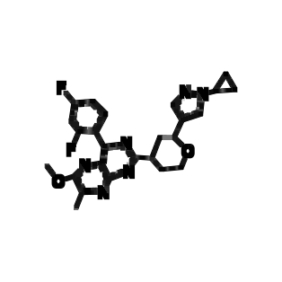 COc1nc2c(-c3ccc(F)cc3F)nc(C3CCOC(c4cnn(C5CC5)c4)C3)nc2nc1C